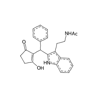 CC(=O)NCCc1c(C(C2=C(O)CCC2=O)c2ccccc2)[nH]c2ccccc12